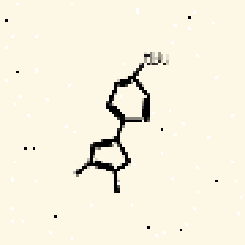 CC1=C(C)CC(c2ccc(C(C)(C)C)cc2)=C1